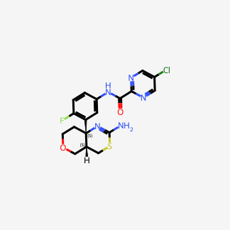 NC1=N[C@@]2(c3cc(NC(=O)c4ncc(Cl)cn4)ccc3F)CCOC[C@H]2CS1